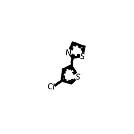 Clc1csc(-c2nccs2)c1